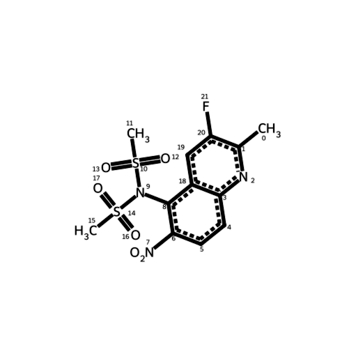 Cc1nc2ccc([N+](=O)[O-])c(N(S(C)(=O)=O)S(C)(=O)=O)c2cc1F